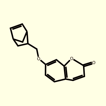 O=c1ccc2ccc(OCC3CC4C=CC3C4)cc2o1